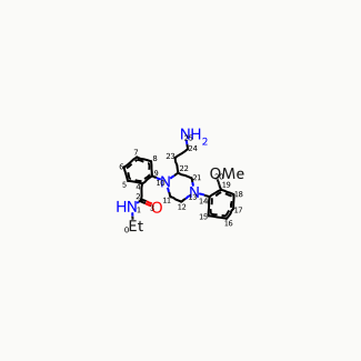 CCNC(=O)c1ccccc1N1CCN(c2ccccc2OC)CC1CCN